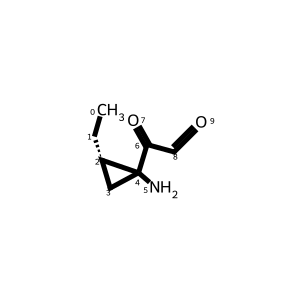 CC[C@H]1CC1(N)C(=O)C=O